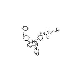 CN(C)CCCNC(=O)Nc1ccc(-c2nc(N3CCOCC3)c3cnn(C4CCN(Cc5ccccc5)CC4)c3n2)cc1